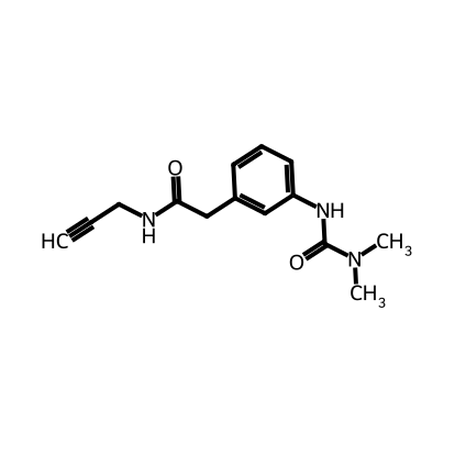 C#CCNC(=O)Cc1cccc(NC(=O)N(C)C)c1